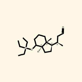 CC[Si](CC)(CC)OC1CCC[C@]2(C)[C@@H]([C@H](C)CC=O)CC[C@@H]12